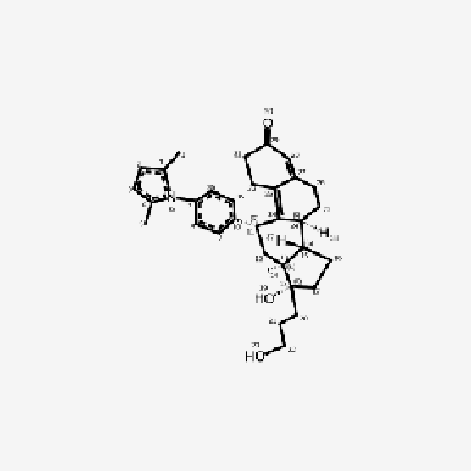 Cc1ccc(C)n1-c1ccc([C@H]2C[C@@]3(C)[C@@H](CC[C@@]3(O)CCCO)[C@@H]3CCC4=CC(=O)CCC4=C32)cc1